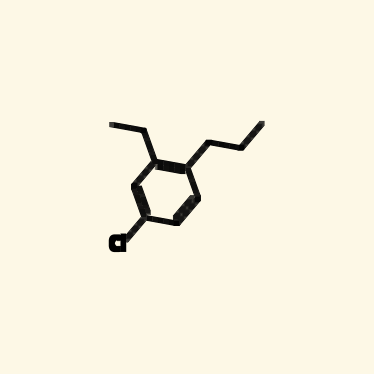 CCCc1ccc(Cl)cc1CC